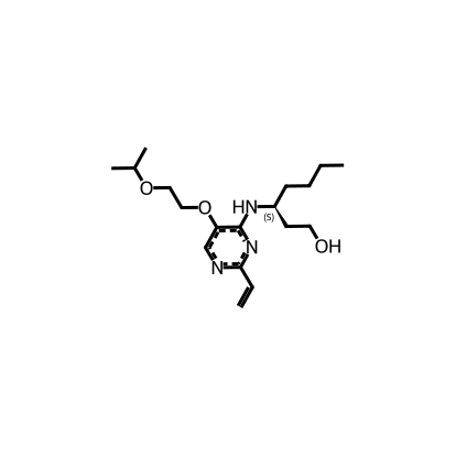 C=Cc1ncc(OCCOC(C)C)c(N[C@H](CCO)CCCC)n1